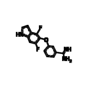 N=C(N)c1cccc(Oc2c(F)cc3[nH]ccc3c2F)c1